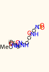 COC(=O)N[C@H](C(=O)N1CCC[C@H]1c1ncc(-c2cccc(-c3ccc(C(=O)Nc4ccc(CN5CCS(=O)(=O)CC5)cc4)cc3)c2)[nH]1)C(C)C